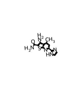 Cc1cc(-c2ncc[nH]2)nc2sc(C(N)=O)c(N)c12